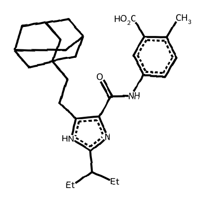 CCC(CC)c1nc(C(=O)Nc2ccc(C)c(C(=O)O)c2)c(CCC23CC4CC(CC(C4)C2)C3)[nH]1